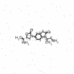 C=C(N)[C@H]1CN(c2ccc3c(c2)CC(=O)N3C(C)CN)C(=O)O1